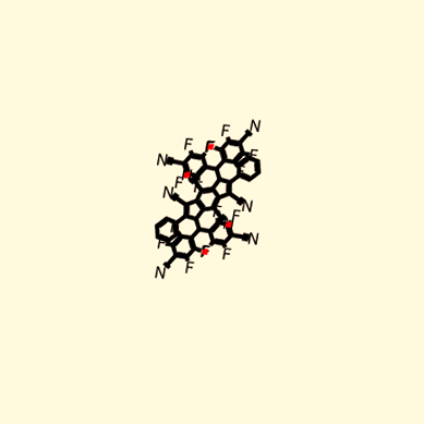 N#CC1=C(c2ccccc2)C(C(c2c(F)c(F)c(C#N)c(F)c2F)c2c(F)c(F)c(C#N)c(F)c2F)c2c(C#N)c3c(c(C#N)c21)C(C(c1c(F)c(F)c(C#N)c(F)c1F)c1c(F)c(F)c(C#N)c(F)c1F)C(c1ccccc1)=C3C#N